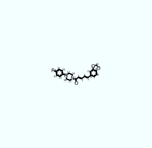 O=C(C=CC=Cc1ccc2c(c1)OCO2)N1CCN(c2ccc(F)cc2)CC1